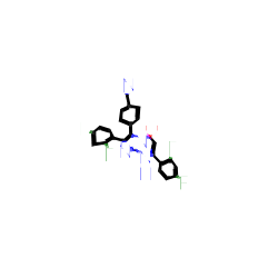 N#Cc1ccc(-c2c(-c3ccc(F)cc3F)nc3[nH]c(-c4ccc(F)cc4F)cc(=O)n23)cc1